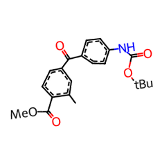 COC(=O)c1ccc(C(=O)c2ccc(NC(=O)OC(C)(C)C)cc2)cc1C